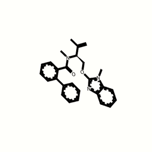 C=C(C)[C@@H](COc1nc2ccccc2n1C)N(C)C(=O)c1ccccc1-c1ccccc1